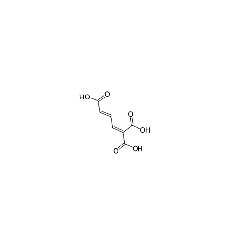 O=C(O)C=CC=C(C(=O)O)C(=O)O